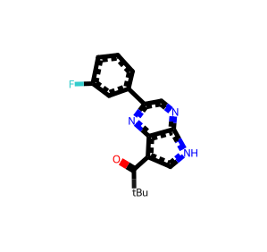 CC(C)(C)C(=O)c1c[nH]c2ncc(-c3cccc(F)c3)nc12